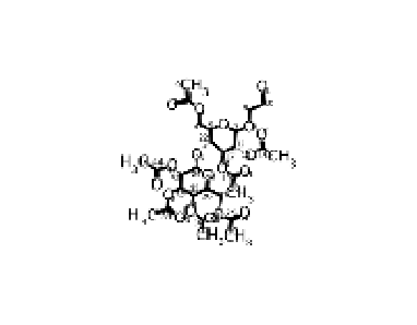 CC(=O)OCC1OC(OCC=O)[C@H](OC(C)=O)C(OC(C)=O)[C@@H]1O[C@H]1OC(COC(C)=O)[C@@H](OC(C)=O)C(OC(C)=O)[C@H]1OC(C)=O